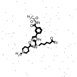 CCC(=O)CCCCC[C@H](NC(=O)C1CCN(C)CC1)C1=[N+]C=C(c2cccc(C(=O)NS(C)(=O)=O)c2)N1